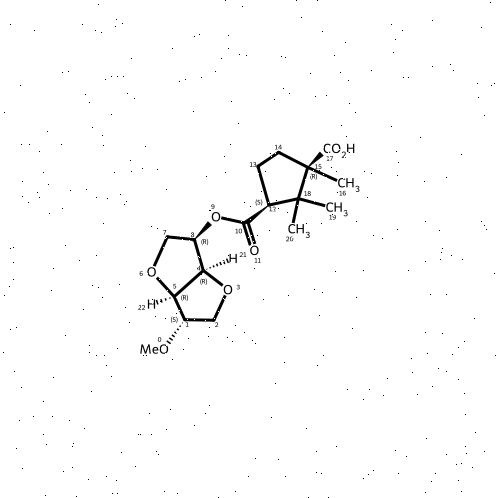 CO[C@H]1CO[C@H]2[C@@H]1OC[C@H]2OC(=O)[C@H]1CC[C@@](C)(C(=O)O)C1(C)C